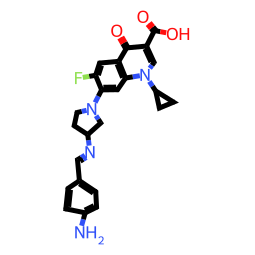 Nc1ccc(C=NC2CCN(c3cc4c(cc3F)c(=O)c(C(=O)O)cn4C3CC3)C2)cc1